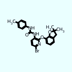 Cc1ccc(NC(=O)Nc2ccc(Br)nc2Oc2cccc3c2OC(C)(C)C3)cc1